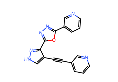 C(#Cc1c[nH]nc1-c1nnc(-c2cccnc2)o1)c1cccnc1